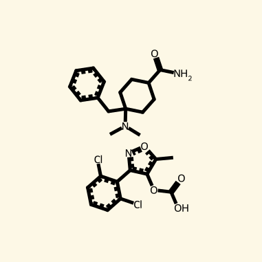 CN(C)C1(Cc2ccccc2)CCC(C(N)=O)CC1.Cc1onc(-c2c(Cl)cccc2Cl)c1OC(=O)O